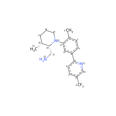 Cc1ccc(-c2ccc(C(F)(F)F)cn2)cc1N1CCC[C@@H](C)[C@H]1CN